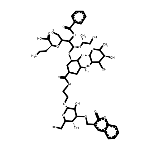 CCC[C@H](OC(CO)C(OC(=O)c1ccccc1)[C@@H](O[C@H](C)CO)O[C@@H]1CC(C(=O)NCCO[C@H]2OC(CO)[C@@H](O)C(OCc3cc4ccccc4oc3=O)C2O)CC(C)C1O[C@@H]1OC(C)[C@@H](O)C(O)C1O)C(=O)O